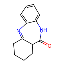 O=C1Nc2ccccc2N=C2CCCCC12